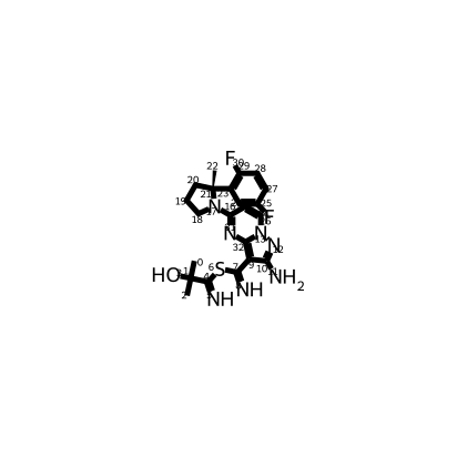 CC(C)(O)C(=N)SC(=N)c1c(N)nn2ccc(N3CCC[C@]3(C)c3cc(F)ccc3F)nc12